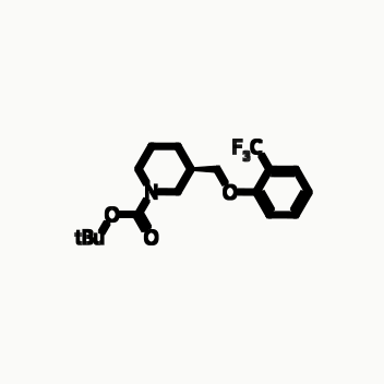 CC(C)(C)OC(=O)N1CCC[C@@H](COc2ccccc2C(F)(F)F)C1